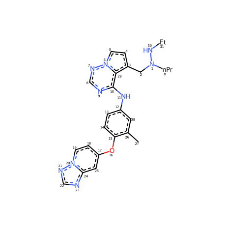 CCCN(Cc1ccn2ncnc(Nc3ccc(Oc4ccn5ncnc5c4)c(C)c3)c12)NCC